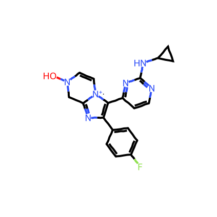 ON1C=C[N+]2C(=NC(c3ccc(F)cc3)=C2c2ccnc(NC3CC3)n2)C1